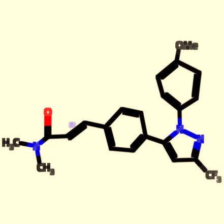 COc1ccc(-n2nc(C(F)(F)F)cc2-c2ccc(/C=C/C(=O)N(C)C)cc2)cc1